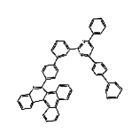 c1ccc(-c2ccc(-c3cc(-c4ccccc4)nc(-c4cccc(-c5ccc(-c6nc7ccccc7c7c8ccccc8c8ccccc8c67)cc5)c4)n3)cc2)cc1